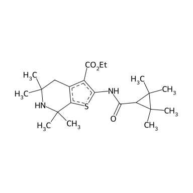 CCOC(=O)c1c(NC(=O)C2C(C)(C)C2(C)C)sc2c1CC(C)(C)NC2(C)C